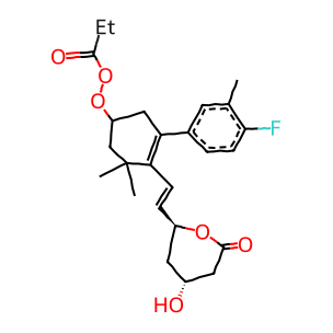 CCC(=O)OOC1CC(c2ccc(F)c(C)c2)=C(/C=C/[C@@H]2C[C@@H](O)CC(=O)O2)C(C)(C)C1